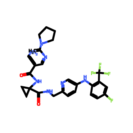 C=C(/N=C\C(=C/N)C(=O)NC1(C(=O)NCc2ccc(Nc3ccc(F)cc3C(F)(F)F)cn2)CC1)N1CCCC1